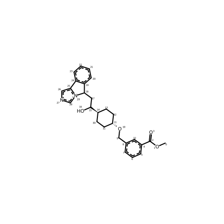 COC(=O)c1cccc(CO[C@H]2CC[C@H](C(O)CC3c4ccccc4-c4cncn43)CC2)c1